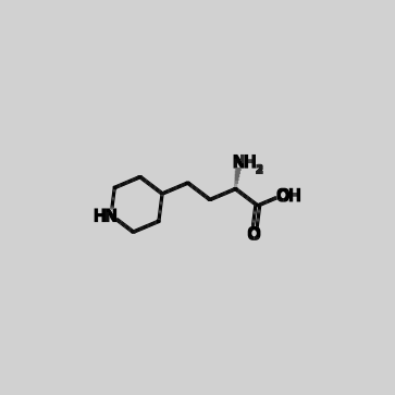 N[C@@H](CCC1CCNCC1)C(=O)O